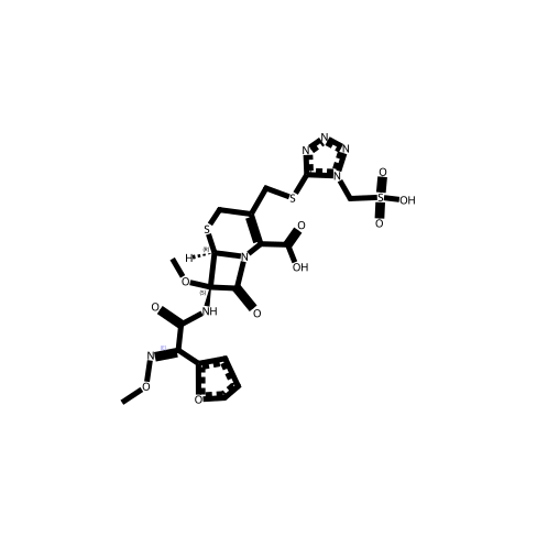 CO/N=C(/C(=O)N[C@]1(OC)C(=O)N2C(C(=O)O)=C(CSc3nnnn3CS(=O)(=O)O)CS[C@@H]21)c1ccco1